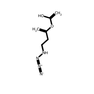 C=C(O)OC(=C)CCNN=[N+]=[N-]